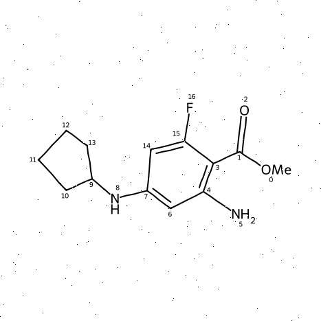 COC(=O)c1c(N)cc(NC2CCCC2)cc1F